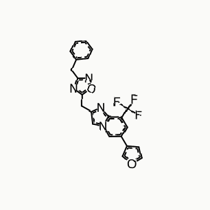 FC(F)(F)c1cc(-c2ccoc2)cn2cc(Cc3nc(Cc4ccccc4)no3)nc12